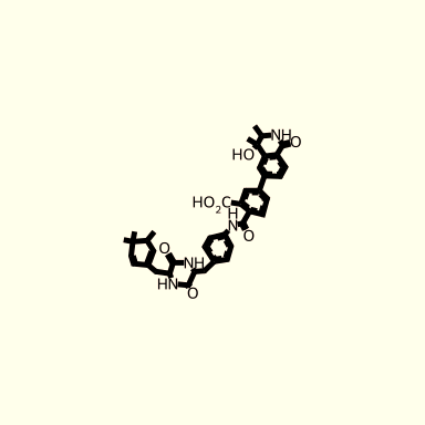 CC1C=C(CC2NC(=O)C(Cc3ccc(NC(=O)c4ccc(-c5ccc6c(c5)C(C)(O)C(C)NC6=O)cc4C(=O)O)cc3)NC2=O)C=CC1(C)C